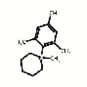 Cc1cc(C)c([N+]2(C)CCCCC2)c(C)c1